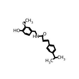 COc1cc(CNC(=O)C=Cc2ccc(C(C)C)cc2)ccc1O